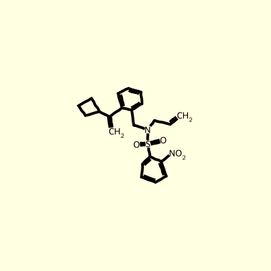 C=CCN(Cc1ccccc1C(=C)C1CCC1)S(=O)(=O)c1ccccc1[N+](=O)[O-]